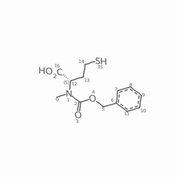 CN(C(=O)OCc1ccccc1)[C@@H](CCS)C(=O)O